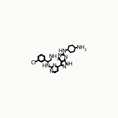 NCC(Nc1nccc(-c2n[nH]c3nc(NC4CCC(N)CC4)ncc23)n1)c1cccc(Cl)c1